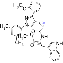 COC(=O)[C@H](Cc1c[nH]c2ccccc12)NC(=O)/C=C\c1cn(-c2cc(C)cc(C)c2)nc1-c1ccccc1OC